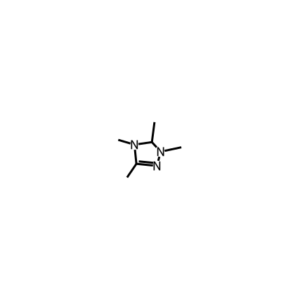 CC1=NN(C)C(C)N1C